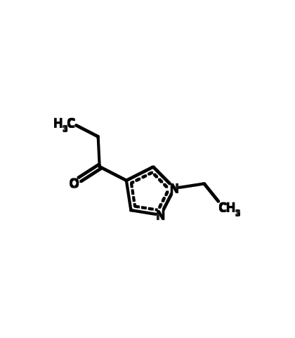 CCC(=O)c1cnn(CC)c1